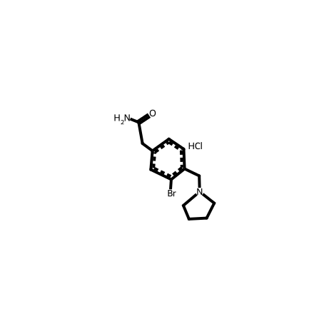 Cl.NC(=O)Cc1ccc(CN2CCCC2)c(Br)c1